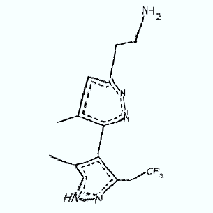 Cc1cc(CCN)nnc1-c1c(C(F)(F)F)n[nH]c1C